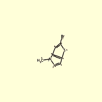 Cn1ncc2sc(Br)cc21